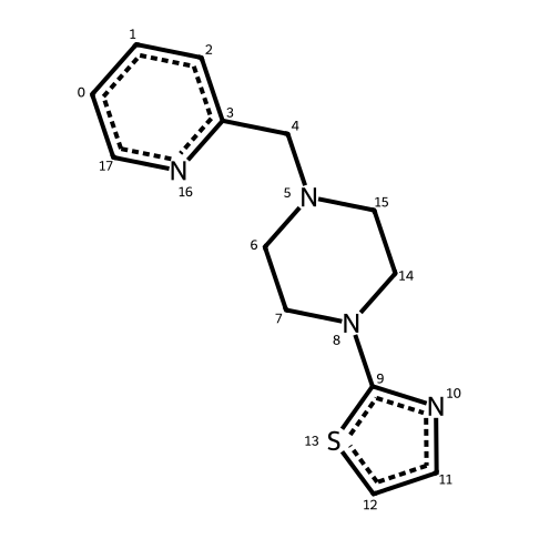 c1ccc(CN2CCN(c3nccs3)CC2)nc1